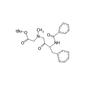 CN(CC(=O)OC(C)(C)C)CC(=O)C(Cc1ccccc1)NC(=O)c1ccccc1